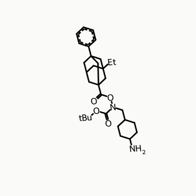 CCC12CC3CC(C(=O)ON(CC4CCC(N)CC4)C(=O)OC(C)(C)C)(C1)CC(c1ccccc1)(C3)C2